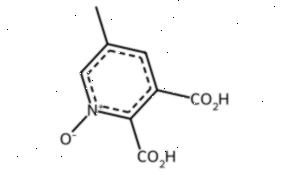 Cc1cc(C(=O)O)c(C(=O)O)[n+]([O-])c1